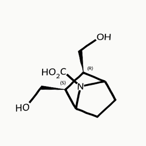 O=C(O)N1C2CCC1[C@H](CO)[C@@H]2CO